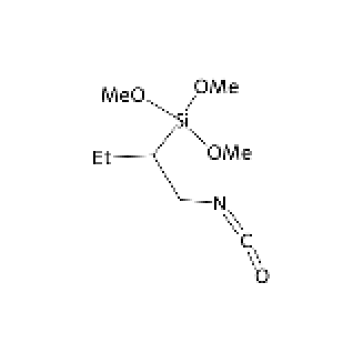 CCC(CN=C=O)[Si](OC)(OC)OC